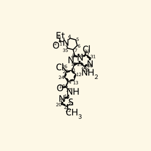 CCC(=O)N1CCCC(c2nc(-c3ccc(C(=O)Nc4ncc(C)s4)cc3Cl)c3c(N)ncc(Cl)n23)C1